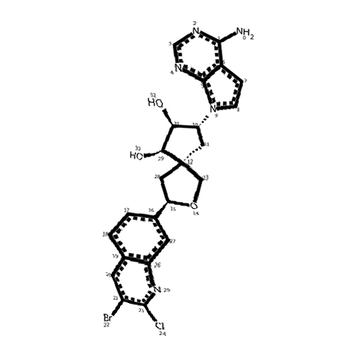 Nc1ncnc2c1ccn2[C@@H]1C[C@@]2(CO[C@@H](c3ccc4cc(Br)c(Cl)nc4c3)C2)[C@@H](O)[C@H]1O